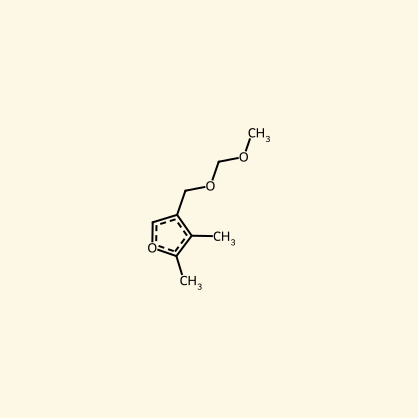 COCOCc1coc(C)c1C